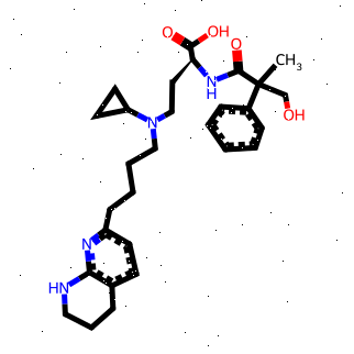 CC(CO)(C(=O)N[C@@H](CCN(CCCCc1ccc2c(n1)NCCC2)C1CC1)C(=O)O)c1ccccc1